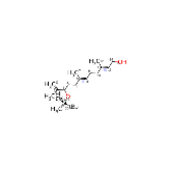 C=C(C)C(CC/C(C)=C/CC/C(C)=C/CO)O[Si](C)(C)C(C)(C)C